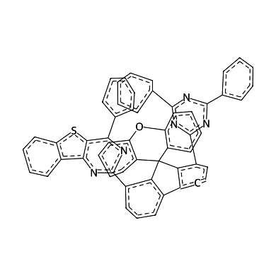 c1ccc(-c2nc(-c3ccccc3)nc(-c3cccc4c3C3(c5ccccc5Oc5ccccc53)c3c(-c5nc(-c6ccccc6)c6sc7ccccc7c6n5)cccc3-4)n2)cc1